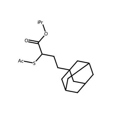 CC(=O)SC(CCC12CC3CC(CC(C3)C1)C2)C(=O)OC(C)C